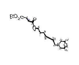 CCOC(=O)/C=C/C(=O)OCCCCCCN1CCOCC1